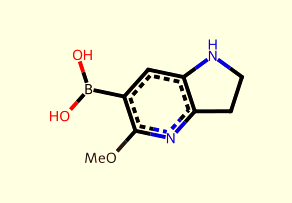 COc1nc2c(cc1B(O)O)NCC2